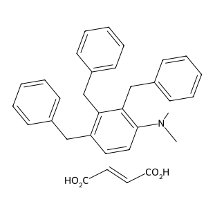 CN(C)c1ccc(Cc2ccccc2)c(Cc2ccccc2)c1Cc1ccccc1.O=C(O)/C=C/C(=O)O